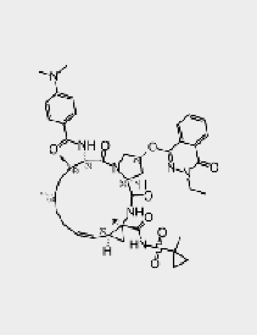 CCn1nc(O[C@@H]2C[C@H]3C(=O)N[C@]4(C(=O)NS(=O)(=O)C5(C)CC5)C[C@H]4C=CCC[C@H](C)C[C@@H](C)[C@H](NC(=O)c4ccc(N(C)C)cc4)C(=O)N3C2)c2ccccc2c1=O